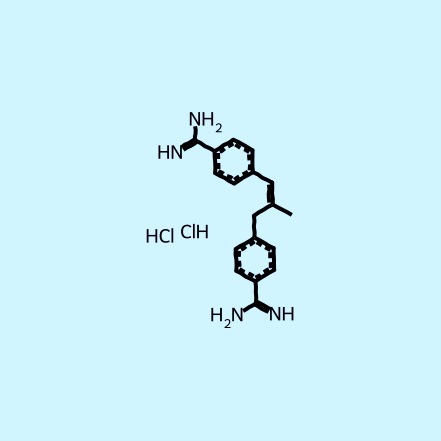 CC(=Cc1ccc(C(=N)N)cc1)Cc1ccc(C(=N)N)cc1.Cl.Cl